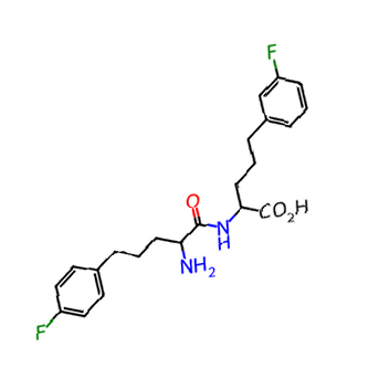 NC(CCCc1ccc(F)cc1)C(=O)NC(CCCc1cccc(F)c1)C(=O)O